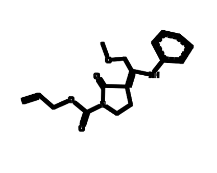 C=CCOC(=O)N1CCC(=C(COC)Nc2ccccc2)C1=O